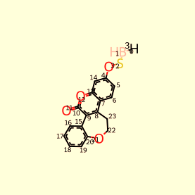 [3H]BSOc1ccc2c3c(c(=O)oc2c1)-c1ccccc1OCC3